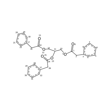 O=C(Cc1ccccc1)OCC(COC(=O)Cc1ccccc1)OC(=O)Cc1ccccc1